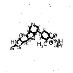 Cc1cc(-c2cncc3cc(C=C4SC(=S)NC4=O)oc23)ccc1S(=O)(=O)NC(C)C